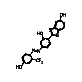 Oc1ccc(N=Nc2ccc(-c3nc4ccc(O)cc4s3)c(O)c2)c(C(F)(F)F)c1